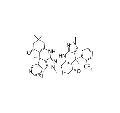 Cc1[nH]nc2c1C(C)(c1ccccc1C(F)(F)F)C1=C(CC(C)(Cn3nc4c(c3C3CC3)C(C)(c3cccnc3)C3=C(CC(C)(C)CC3=O)N4)CC1=O)N2